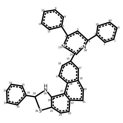 c1ccc(-c2cc(-c3ccccc3)nc(-c3ccc4c(ccc5ccc6c(c54)NC(c4ccccc4)S6)c3)n2)cc1